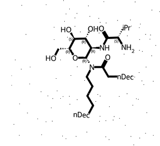 CCCCCCCCCCCCCCN(C(=O)CCCCCCCCCCC)[C@@H]1O[C@H](CO)[C@@H](O)[C@H](O)[C@H]1NC(=O)[C@@H](N)C(C)C